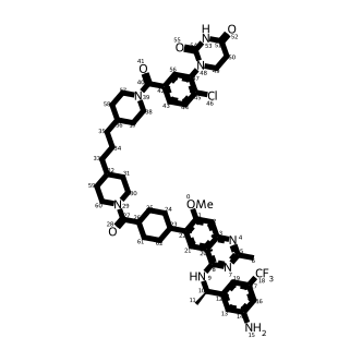 COc1cc2nc(C)nc(N[C@H](C)c3cc(N)cc(C(F)(F)F)c3)c2cc1C1CCC(C(=O)N2CCC(CCCC3CCN(C(=O)c4ccc(Cl)c(N5CCC(=O)NC5=O)c4)CC3)CC2)CC1